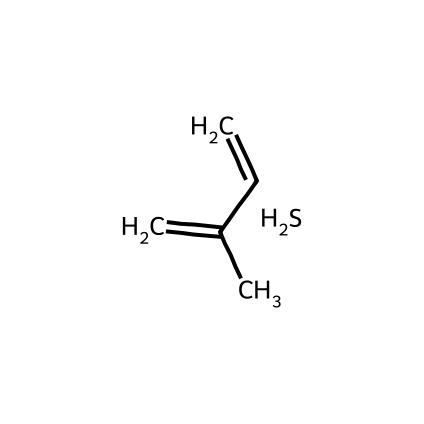 C=CC(=C)C.S